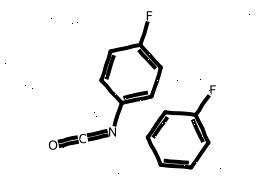 Fc1ccccc1.O=C=Nc1ccc(F)cc1